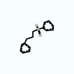 O=S(=O)(CCCc1ccccc1)c1ccccc1